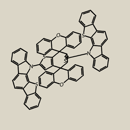 c1ccc2c(c1)Oc1ccccc1C21c2cc(-n3c4ccccc4c4ccc5c6ccccc6sc5c43)sc2C2(c3ccccc3Oc3ccccc32)c2cc(-n3c4ccccc4c4ccc5c6ccccc6sc5c43)sc21